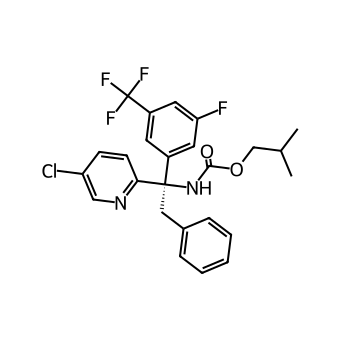 CC(C)COC(=O)N[C@](Cc1ccccc1)(c1cc(F)cc(C(F)(F)F)c1)c1ccc(Cl)cn1